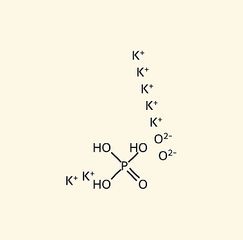 O=P(O)(O)O.[K+].[K+].[K+].[K+].[K+].[K+].[K+].[O-2].[O-2]